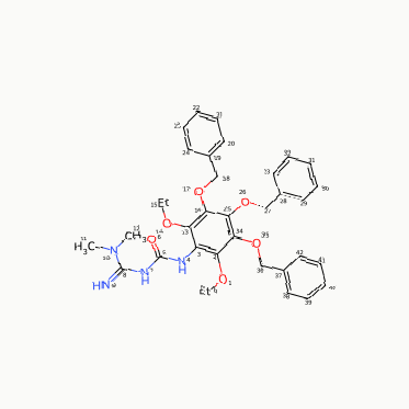 CCOc1c(NC(=O)NC(=N)N(C)C)c(OCC)c(OCc2ccccc2)c(OCc2ccccc2)c1OCc1ccccc1